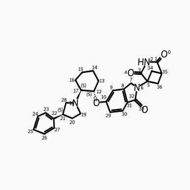 O=C1NC(=O)C2(N3Cc4cc(O[C@H]5CCCC[C@@H]5N5CC[C@@H](c6ccccc6)C5)ccc4C3=O)CC1C2